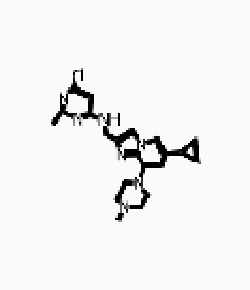 Cc1nc(Cl)cc(NCc2cn3cc(C4CC4)cc(N4CCN(C)CC4)c3n2)n1